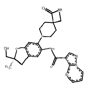 C[C@@]1(CO)Cc2cc(NC(=O)c3cnn4cccnc34)c(N3CCC4(CC3)CNC4=O)cc2O1